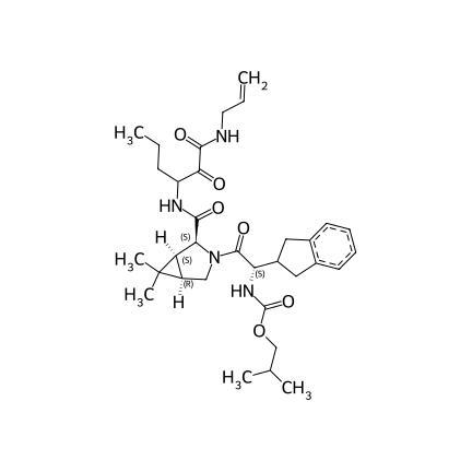 C=CCNC(=O)C(=O)C(CCC)NC(=O)[C@@H]1[C@H]2[C@@H](CN1C(=O)[C@@H](NC(=O)OCC(C)C)C1Cc3ccccc3C1)C2(C)C